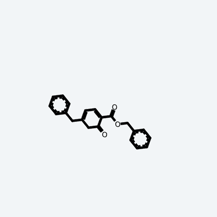 O=C1CC(Cc2ccccc2)=CC=C1C(=O)OCc1ccccc1